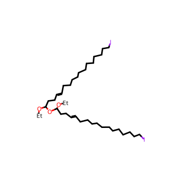 CCOC(CCC=CCCCCCCCCCCCCI)OC(CCC=CCCCCCCCCCCCCI)OCC